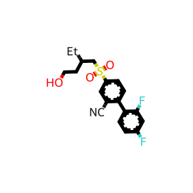 CCC(CCO)CS(=O)(=O)c1ccc(-c2ccc(F)cc2F)c(C#N)c1